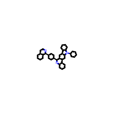 c1ccc(-n2c3ccccc3c3cc4c(-c5ccc(-c6nccc7ccccc67)cc5)nc5ccccc5c4cc32)cc1